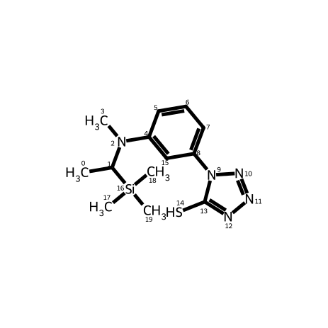 CC(N(C)c1cccc(-n2nnnc2S)c1)[Si](C)(C)C